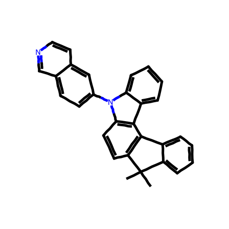 CC1(C)c2ccccc2-c2c1ccc1c2c2ccccc2n1-c1ccc2cnccc2c1